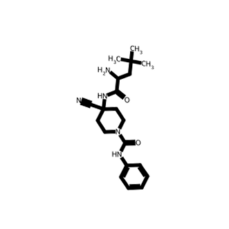 CC(C)(C)CC(N)C(=O)NC1(C#N)CCN(C(=O)Nc2ccccc2)CC1